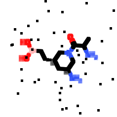 CC(N)C(=O)N1C[C@@H](N)C[C@H](CCB(O)O)C1